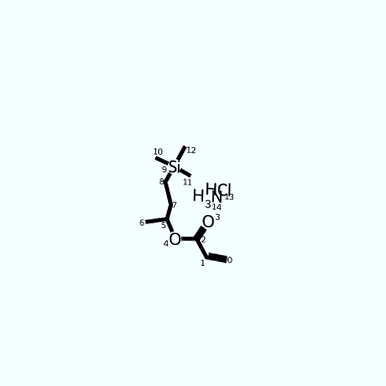 C=CC(=O)OC(C)CC[Si](C)(C)C.Cl.N